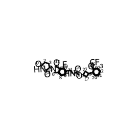 O=C1CC[C@H](N2Cc3ccc(CNC(=O)OC4CC(c5ccccc5OC(F)(F)F)C4)c(F)c3C2=O)C(=O)N1